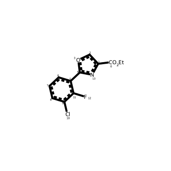 CCOC(=O)c1coc(-c2cccc(Cl)c2F)n1